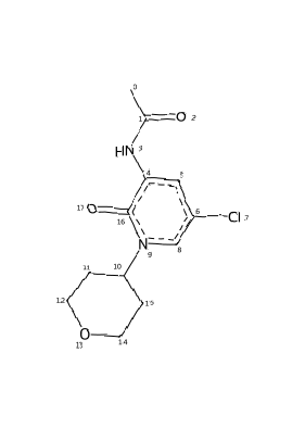 CC(=O)Nc1cc(Cl)cn(C2CCOCC2)c1=O